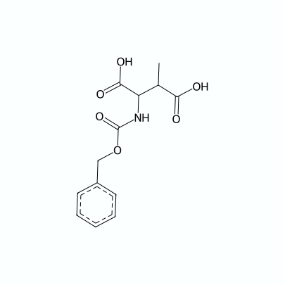 CC(C(=O)O)C(NC(=O)OCc1ccccc1)C(=O)O